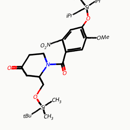 COc1cc(C(=O)N2CCC(=O)CC2CO[Si](C)(C)C(C)(C)C)c([N+](=O)[O-])cc1O[Si](C(C)C)(C(C)C)C(C)C